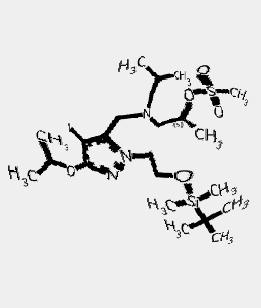 CC(C)Oc1nn(CCO[Si](C)(C)C(C)(C)C)c(CN(C[C@H](C)OS(C)(=O)=O)C(C)C)c1I